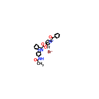 CC(=O)Nc1cccc(NC(C(=O)O[C@H]2C[N+]3(CC(=O)c4ccccc4)CCC2CC3)c2ccccc2)c1.[Br-]